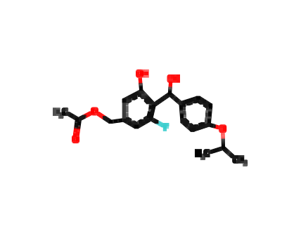 CC(=O)OCc1cc(O)c(C(O)c2ccc(OC(C)C)cc2)c(F)c1